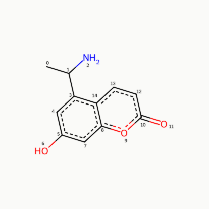 CC(N)c1cc(O)cc2oc(=O)ccc12